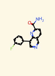 NC(=O)c1ccc2cncc(-c3cccc(F)c3)c2n1